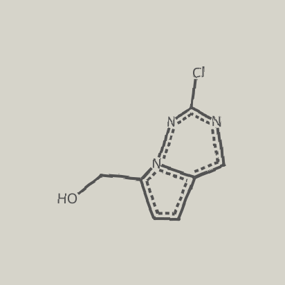 OCc1ccc2cnc(Cl)nn12